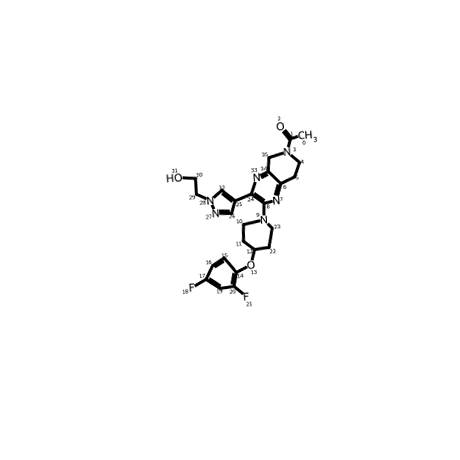 CC(=O)N1CCc2nc(N3CCC(Oc4ccc(F)cc4F)CC3)c(-c3cnn(CCO)c3)nc2C1